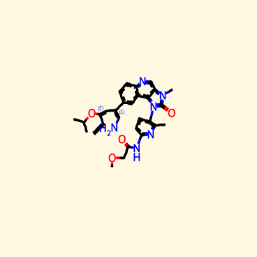 C=C/C(=C\C(=C/N)c1ccc2ncc3c(c2c1)n(-c1ccc(NC(=O)COC)nc1C)c(=O)n3C)OC(C)C